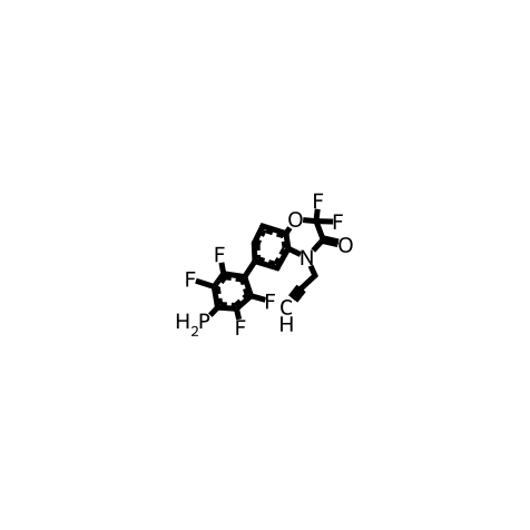 C#CCN1C(=O)C(F)(F)Oc2ccc(-c3c(F)c(F)c(P)c(F)c3F)cc21